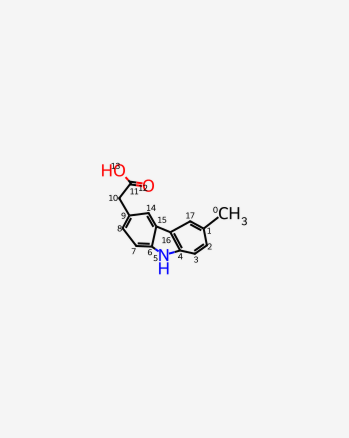 Cc1ccc2[nH]c3ccc(CC(=O)O)cc3c2c1